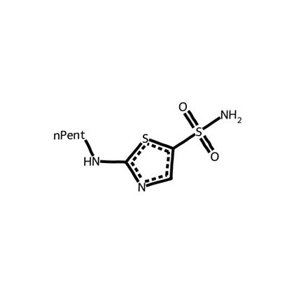 CCCCCNc1ncc(S(N)(=O)=O)s1